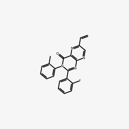 C=Cc1cnc2nc(-c3ccccc3F)n(-c3ccccc3C)c(=O)c2n1